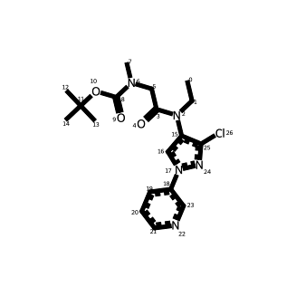 CCN(C(=O)CN(C)C(=O)OC(C)(C)C)c1cn(-c2cccnc2)nc1Cl